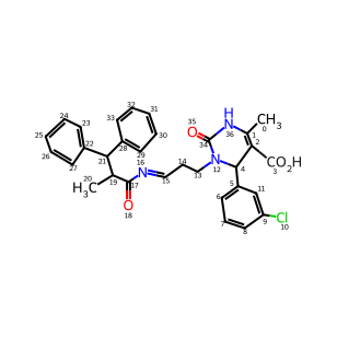 CC1=C(C(=O)O)C(c2cccc(Cl)c2)N(CCC=NC(=O)C(C)C(c2ccccc2)c2ccccc2)C(=O)N1